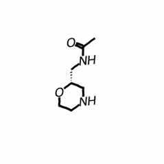 CC(=O)NC[C@@H]1CNCCO1